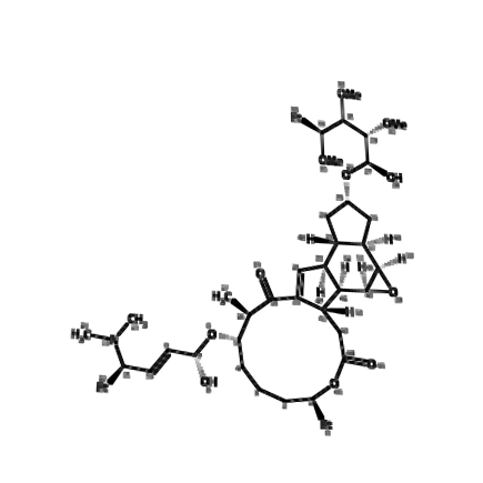 CC[C@H]1CCC[C@H](O[C@H](O)/C=C/[C@@H](CC)N(C)C)[C@@H](C)C(=O)C2=C[C@H]3[C@@H]4C[C@H](O[C@H](O)[C@@H](OC)C(OC)[C@H](CC)OC)C[C@H]4[C@H]4O[C@H]4[C@H]3[C@@H]2CC(=O)O1